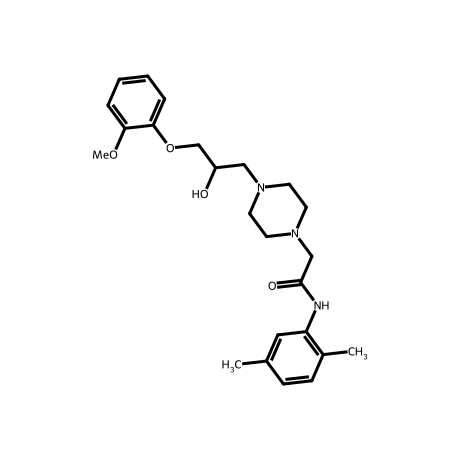 COc1ccccc1OCC(O)CN1CCN(CC(=O)Nc2cc(C)ccc2C)CC1